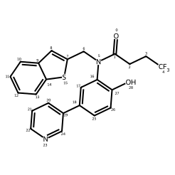 O=C(CCC(F)(F)F)N(Cc1cc2ccccc2s1)c1cc(-c2cccnc2)ccc1O